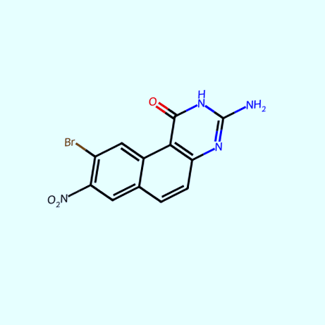 Nc1nc2ccc3cc([N+](=O)[O-])c(Br)cc3c2c(=O)[nH]1